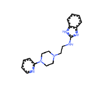 c1ccc(N2CCN(CCNc3nc4ccccc4[nH]3)CC2)nc1